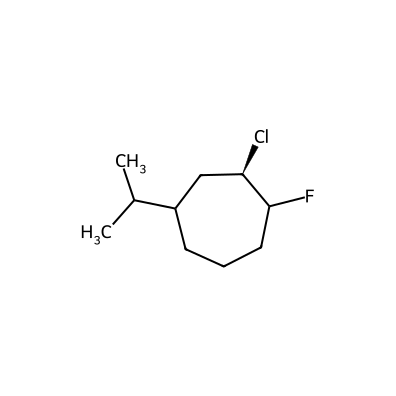 CC(C)C1CCCC(F)[C@H](Cl)C1